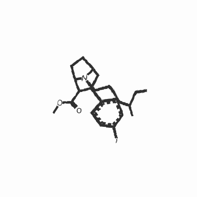 CCC(C)CCCN1C2CCC1C(C(=O)OC)C(c1ccc(I)cc1)C2